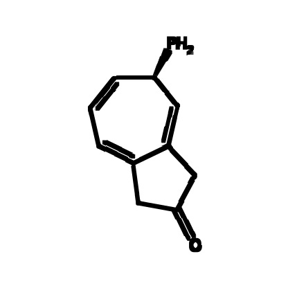 O=C1CC2=CC=C[C@@H](P)C=C2C1